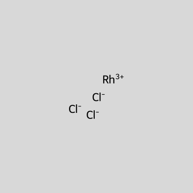 [Cl-].[Cl-].[Cl-].[Rh+3]